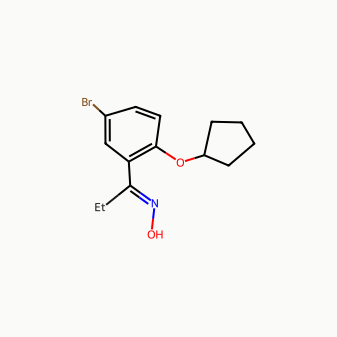 CCC(=NO)c1cc(Br)ccc1OC1CCCC1